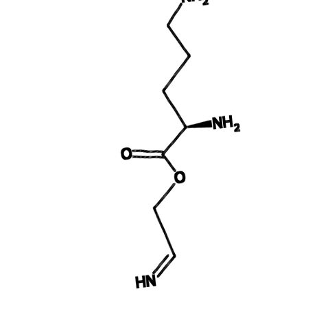 N=CCOC(=O)[C@H](N)CCCN